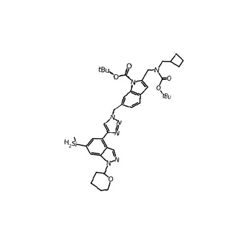 C[SiH2]c1cc(-c2cn(Cc3ccc4cc(CN(CC5CCC5)C(=O)OC(C)(C)C)n(C(=O)OC(C)(C)C)c4c3)nn2)c2cnn(C3CCCCO3)c2c1